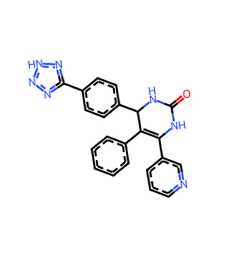 O=C1NC(c2cccnc2)=C(c2ccccc2)C(c2ccc(-c3nn[nH]n3)cc2)N1